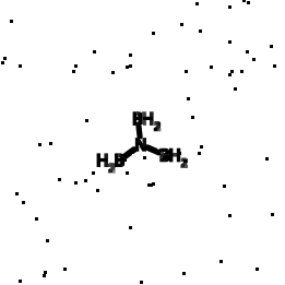 BN(B)B